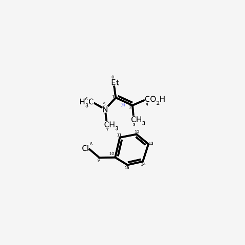 CC/C(=C(/C)C(=O)O)N(C)C.ClCc1ccccc1